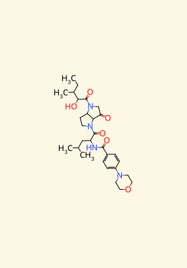 CCC(C)C(O)C(=O)N1CC(=O)C2C1CCN2C(=O)C(CC(C)C)NC(=O)c1ccc(N2CCOCC2)cc1